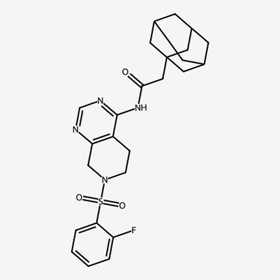 O=C(CC12CC3CC(CC(C3)C1)C2)Nc1ncnc2c1CCN(S(=O)(=O)c1ccccc1F)C2